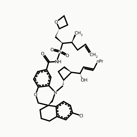 C=CC[C@H](C)[C@H](C[C@H]1CCO1)S(=O)(=O)NC(=O)c1ccc2c(c1)N(C[C@@H]1CC[C@H]1[C@@H](O)/C=C/CCC)C[C@@]1(CCCc3cc(Cl)ccc31)CO2